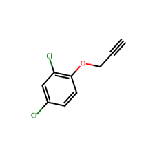 C#CCOc1c[c]c(Cl)cc1Cl